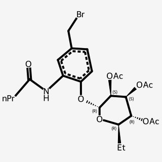 CCCC(=O)Nc1cc(CBr)ccc1O[C@H]1O[C@H](CC)[C@@H](OC(C)=O)[C@H](OC(C)=O)[C@@H]1OC(C)=O